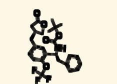 CC(C)(C)OC(=O)N[C@@H](Cc1ccccc1)c1cc(C[C@@H]2COC(=O)C2)ccc1OC(F)(F)F